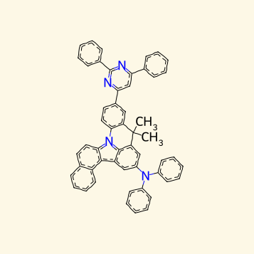 CC1(C)c2cc(-c3cc(-c4ccccc4)nc(-c4ccccc4)n3)ccc2-n2c3ccc4ccccc4c3c3cc(N(c4ccccc4)c4ccccc4)cc1c32